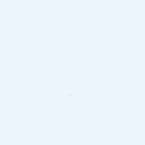 CC(C)(C)[Si](C)(C)Oc1ccc2c(c1)[Si]1(CCCCC1)c1cc(O[Si](C)(C)C(C)(C)C)ccc1C2=O